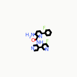 Nc1ccc(-c2ccccc2F)nc1C(=O)Nc1cnccc1-c1cncc(F)c1